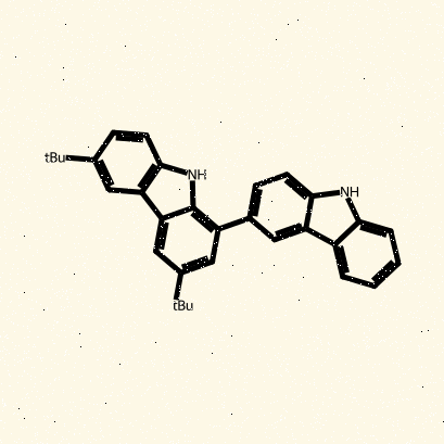 CC(C)(C)c1ccc2[nH]c3c(-c4ccc5[nH]c6ccccc6c5c4)cc(C(C)(C)C)cc3c2c1